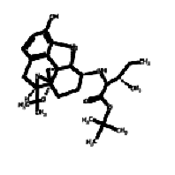 CC[C@H](C)[C@H](N[C@H]1CC[C@@]2(OC)[C@H]3Cc4ccc(O)c5c4[C@@]2(CCN3C)[C@H]1O5)C(=O)OC(C)(C)C